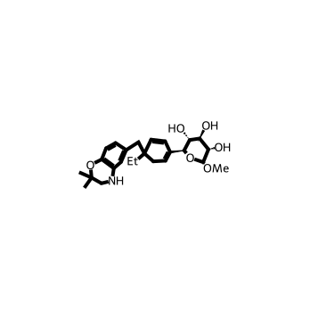 CCC1(Cc2ccc3c(c2)NCC(C)(C)O3)C=CC([C@@H]2O[C@H](OC)[C@@H](O)[C@H](O)[C@H]2O)=CC1